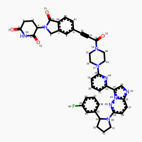 O=C1CCC(N2Cc3cc(C#CC(=O)N4CCN(c5cccc(-c6cnc7ccc(N8CCCC8c8cccc(F)c8)nn67)n5)CC4)ccc3C2=O)C(=O)N1